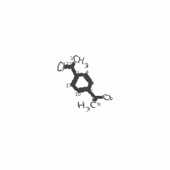 CC(Cl)c1ccc(C(C)Cl)cc1